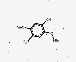 CCCCOc1cc([N+](=O)[O-])c(OC)cc1C#N